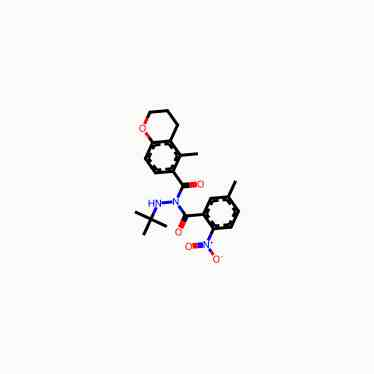 Cc1ccc([N+](=O)[O-])c(C(=O)N(NC(C)(C)C)C(=O)c2ccc3c(c2C)CCCO3)c1